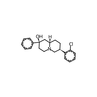 O[C@]1(c2ccccc2)CCN2C[C@H](c3ccccc3Cl)CC[C@H]2C1